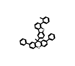 Cc1ccccc1-c1cccc2c1sc1ccc(C3(C)c4cc(-c5ccccc5)ccc4Oc4ccc(-c5ccccc5)cc43)cc12